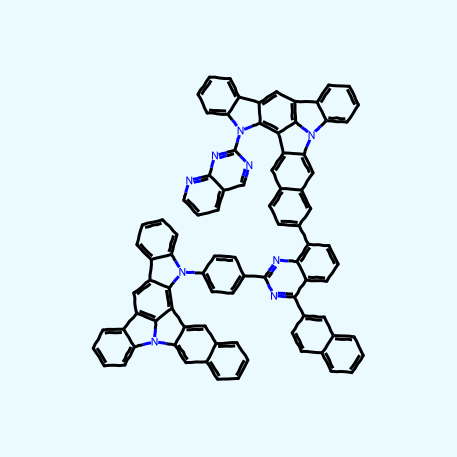 c1ccc2cc(-c3nc(-c4ccc(-n5c6ccccc6c6cc7c8ccccc8n8c9cc%10ccccc%10cc9c(c65)c78)cc4)nc4c(-c5ccc6cc7c8c9c(cc%10c%11ccccc%11n(c7cc6c5)c%108)c5ccccc5n9-c5ncc6cccnc6n5)cccc34)ccc2c1